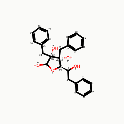 O[C]1O[C@H](C(O)Cc2ccccc2)[C@](O)(Cc2ccccc2)[C@]1(O)Cc1ccccc1